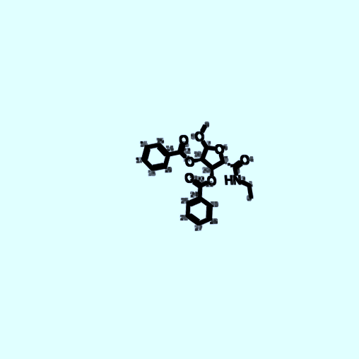 CCNC(=O)[C@H]1OC(OC)[C@H](OC(=O)c2ccccc2)[C@@H]1OC(=O)c1ccccc1